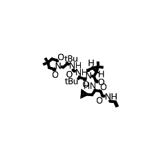 C=CCNC(=O)C(=O)C(CC1CC1)NC(=O)C1[C@@H]2[C@H](CN1C(=O)C(NC(=O)NC(CN1C(=O)CC(C)(C)CC1=O)C(C)(C)C)C(C)(C)C)C2(C)C